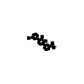 O=C1NC(c2cccc([N+](=O)[O-])c2)=CCN1c1cccc(Br)c1